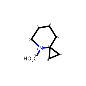 O=C(O)N1CCCCC12CC2